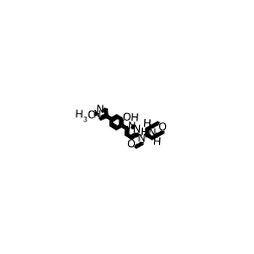 Cn1cc(-c2ccc(-c3cc4c(nn3)N(C3C[C@H]5COC[C@@H](C3)N5)CCO4)c(O)c2)cn1